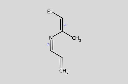 C=C/C=N\C(C)=C/CC